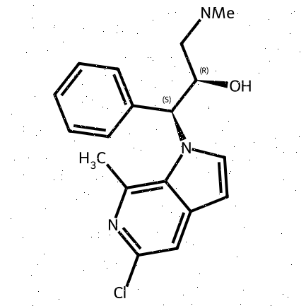 CNC[C@@H](O)[C@H](c1ccccc1)n1ccc2cc(Cl)nc(C)c21